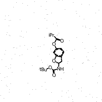 CC(C)C(=O)Oc1ccc2c(c1)OC(NC(=O)OC(C)(C)C)C2